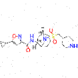 O=C(N[C@@H]1C[C@@H]2CCCC1CN2S(=O)(=O)CC1CCNCC1)c1cc(C2CC2)on1